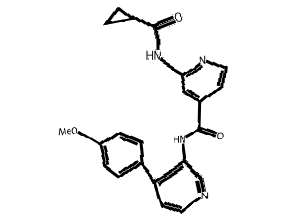 COc1ccc(-c2ccncc2NC(=O)c2ccnc(NC(=O)C3CC3)c2)cc1